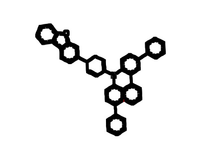 C1=CC(c2ccc3c(c2)oc2ccccc23)CC=C1N(c1ccc(-c2ccccc2)cc1)c1ccc(-c2ccccc2)cc1-c1ccccc1